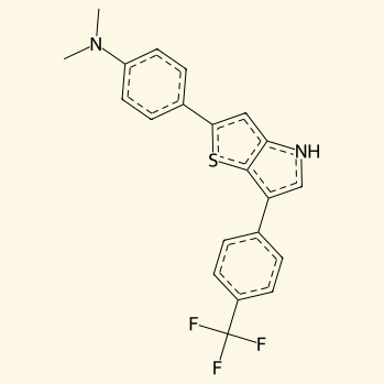 CN(C)c1ccc(-c2cc3[nH]cc(-c4ccc(C(F)(F)F)cc4)c3s2)cc1